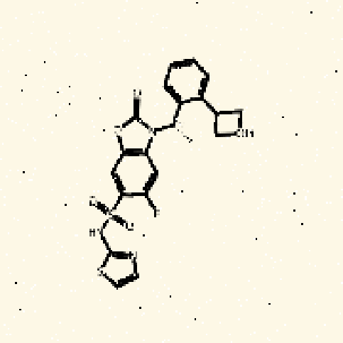 C[C@@H](c1ccccc1C1CNC1)n1c(=O)oc2cc(S(=O)(=O)Nc3nccs3)c(F)cc21